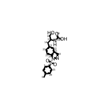 Cc1ccc(S(=O)(=O)n2ncc3cc(CC(CO)NC(=O)O)ccc32)cc1